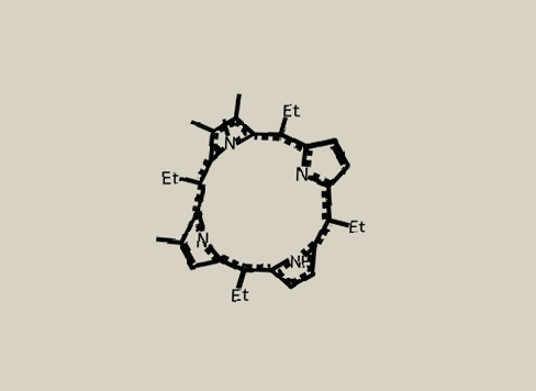 CCc1c2nc(c(CC)c3c(C)c(C)c(c(CC)c4nc(c(CC)c5ccc1[nH]5)C=C4C)n3C)C=C2